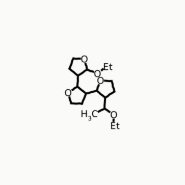 CCOC(C)C1CCOC1C1CCOC1C1CCOC1OCC